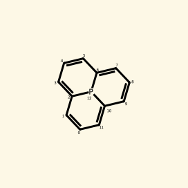 C1=CC2=CC=CC3=CC=CC(=C1)P23